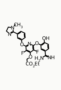 CCOC(=O)COc1c(F)c(Oc2cccc(C3=NCCN3C)c2)nc(Oc2cc(C(=N)N)ccc2O)c1F